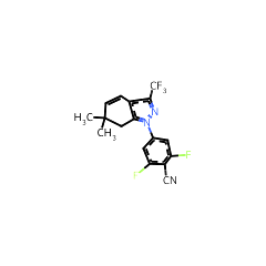 CC1(C)C=Cc2c(C(F)(F)F)nn(-c3cc(F)c(C#N)c(F)c3)c2C1